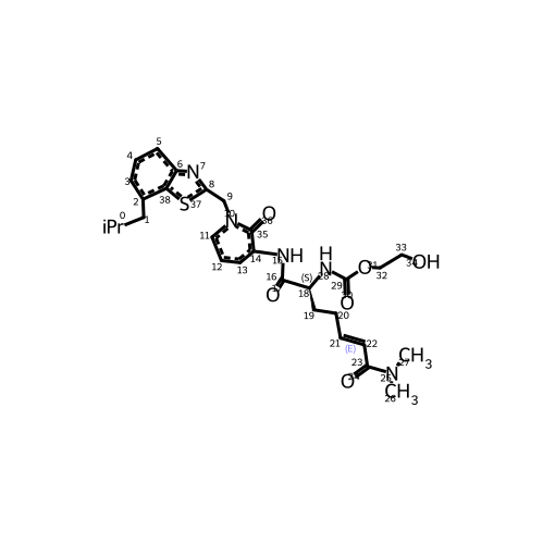 CC(C)Cc1cccc2nc(Cn3cccc(NC(=O)[C@H](CC/C=C/C(=O)N(C)C)NC(=O)OCCO)c3=O)sc12